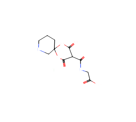 Cl.O=C(O)CNC(=O)C1C(=O)OC2(CCCNC2)OC1=O